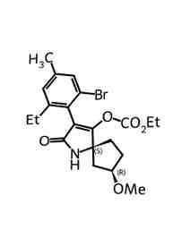 CCOC(=O)OC1=C(c2c(Br)cc(C)cc2CC)C(=O)N[C@]12CC[C@@H](OC)C2